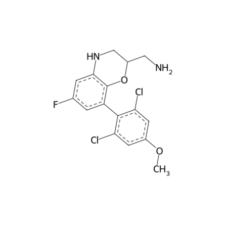 COc1cc(Cl)c(-c2cc(F)cc3c2OC(CN)CN3)c(Cl)c1